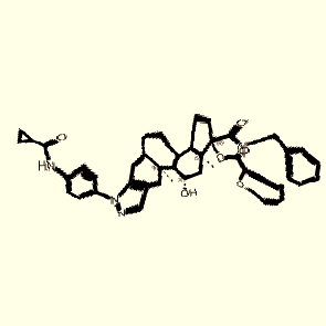 C[C@]12Cc3cnn(-c4ccc(NC(=O)C5CC5)cc4)c3C=C1CCC1C2[C@@H](O)C[C@@]2(C)C1CC[C@]2(OC(=O)c1ccco1)C(=O)NCc1ccccc1